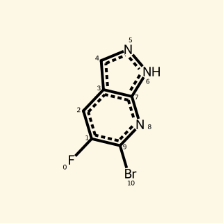 Fc1cc2cn[nH]c2nc1Br